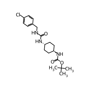 CC(C)(C)OC(=O)N[C@H]1CC[C@H](NC(=O)NCc2ccc(Cl)cc2)CC1